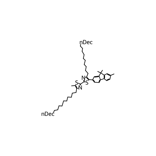 CCCCCCCCCCCCCCCCCCCCc1nc(-c2nc(CCCCCCCCCCCCCCCCCCCC)c(-c3ccc4c(c3)C(C)(C)c3cc(C)ccc3-4)s2)sc1C